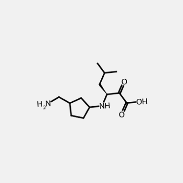 CC(C)C[C@H](NC1CCC(CN)C1)C(=O)C(=O)O